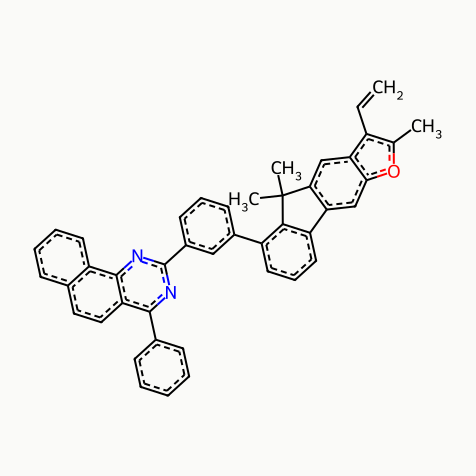 C=Cc1c(C)oc2cc3c(cc12)C(C)(C)c1c(-c2cccc(-c4nc(-c5ccccc5)c5ccc6ccccc6c5n4)c2)cccc1-3